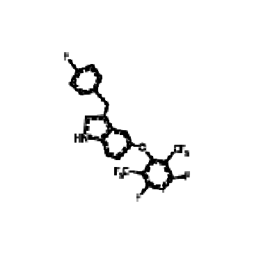 Fc1ccc(Cc2c[nH]c3ccc(Oc4c(C(F)(F)F)c(F)[c]c(F)c4C(F)(F)F)cc23)cc1